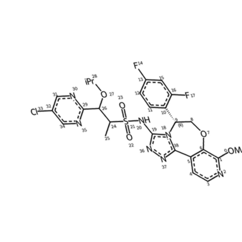 COc1nccc2c1OC[C@@H](c1ccc(F)cc1F)n1c(NS(=O)(=O)C(C)C(OC(C)C)c3ncc(Cl)cn3)nnc1-2